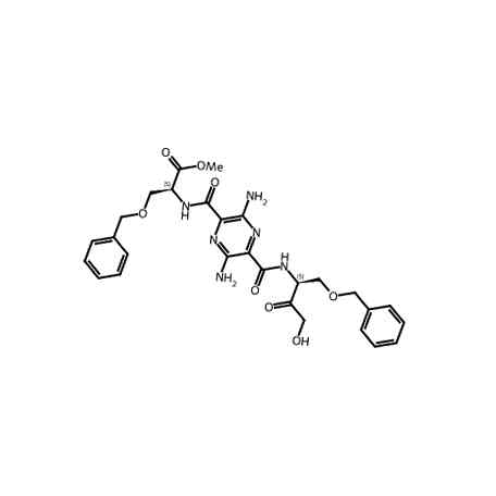 COC(=O)[C@H](COCc1ccccc1)NC(=O)c1nc(N)c(C(=O)N[C@@H](COCc2ccccc2)C(=O)CO)nc1N